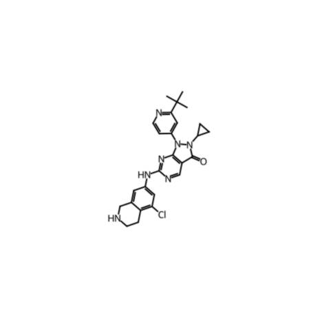 CC(C)(C)c1cc(-n2c3nc(Nc4cc(Cl)c5c(c4)CNCC5)ncc3c(=O)n2C2CC2)ccn1